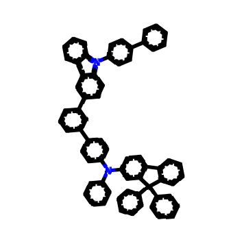 c1ccc(-c2ccc(-n3c4ccccc4c4cc(-c5cccc(-c6ccc(N(c7ccccc7)c7ccc8c(c7)C(c7ccccc7)(c7ccccc7)c7ccccc7-8)cc6)c5)ccc43)cc2)cc1